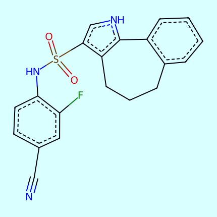 N#Cc1ccc(NS(=O)(=O)c2c[nH]c3c2CCCc2ccccc2-3)c(F)c1